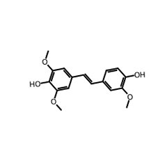 COc1cc(/C=C/c2cc(OC)c(O)c(OC)c2)ccc1O